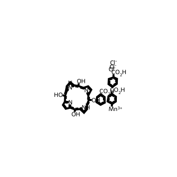 O=C(O)c1cc[c]([Mn+3])cc1.O=C(O)c1ccccc1.O=C(O)c1ccccc1.Oc1c2nc(c(O)c3ccc([nH]3)c(O)c3nc(c(O)c4ccc1[nH]4)C=C3)C=C2.[Cl-].[Cl-].[Cl-]